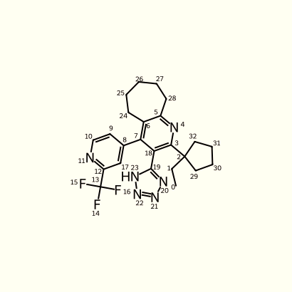 CCC1(c2nc3c(c(-c4ccnc(C(F)(F)F)c4)c2-c2nnn[nH]2)CCCCC3)CCCC1